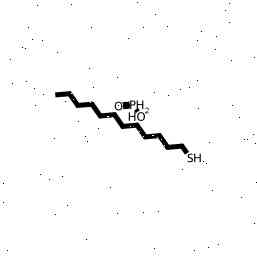 CCCCCCCCCCCCS.O=[PH2]O